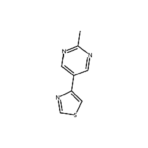 Cc1ncc(-c2cscn2)cn1